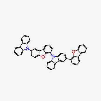 c1ccc2c(c1)oc1c(-c3ccc4c(c3)c3ccccc3n4-c3cccc4c3oc3ccc(-n5c6ccccc6c6ccccc65)cc34)cccc12